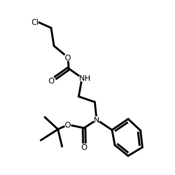 CC(C)(C)OC(=O)N(CCNC(=O)OCCCl)c1ccccc1